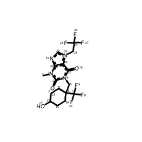 Cn1c(=O)n(CC2(C(F)(F)F)CCC(O)CC2)c(=O)c2c1ncn2CC(F)(F)F